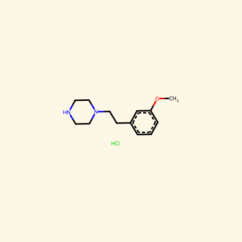 COc1cccc(CCN2CCNCC2)c1.Cl